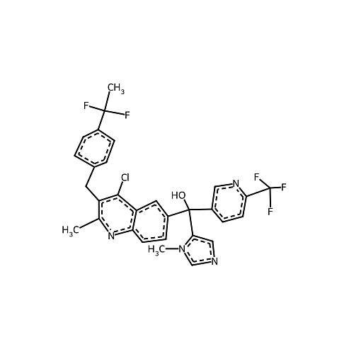 Cc1nc2ccc(C(O)(c3ccc(C(F)(F)F)nc3)c3cncn3C)cc2c(Cl)c1Cc1ccc(C(C)(F)F)cc1